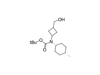 CC(C)(C)OC(=O)N(C1CC(CO)C1)[C@H]1CC[C@@H](C)CC1